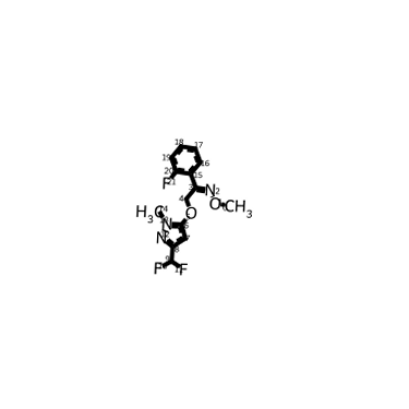 CON=C(COc1cc(C(F)F)nn1C)c1ccccc1F